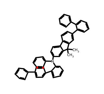 CC1(C)c2cc(-c3ccccc3-c3ccccc3)ccc2-c2ccc(N(c3ccccc3)c3ccccc3-c3ccc(-c4ccccc4)cc3)cc21